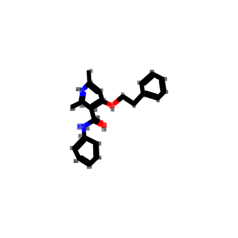 Cc1cc(OCCc2ccccc2)c(C(=O)Nc2ccccc2)c(C)n1